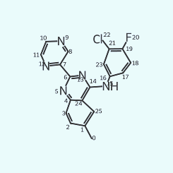 Cc1ccc2nc(-c3cnccn3)nc(Nc3ccc(F)c(Cl)c3)c2c1